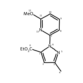 CCOC(=O)c1cc(C)nn1-c1cccc(OC)n1